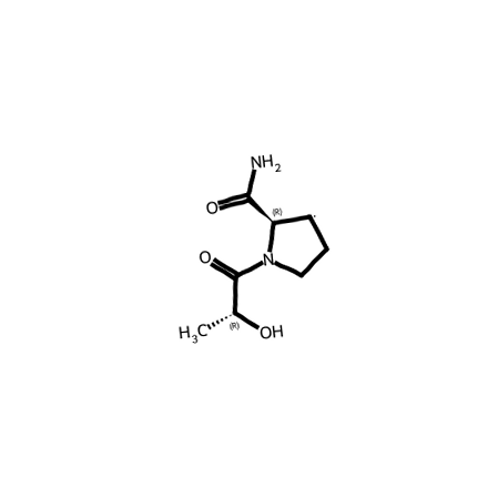 C[C@@H](O)C(=O)N1CC[CH][C@@H]1C(N)=O